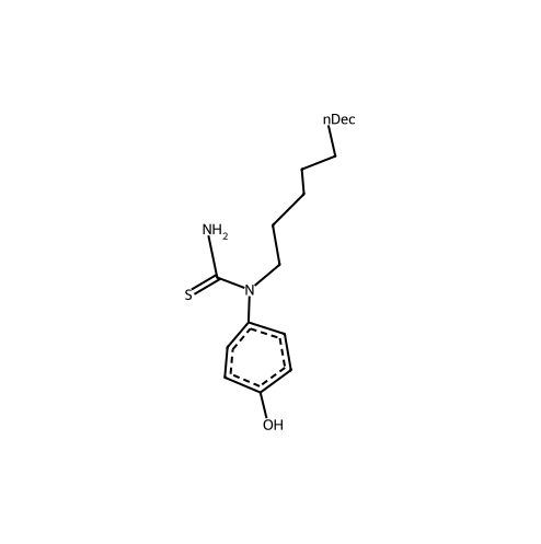 CCCCCCCCCCCCCCCN(C(N)=S)c1ccc(O)cc1